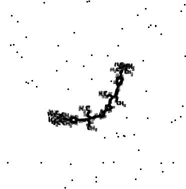 CCC/C(C#Cc1ccc(C#C[Si](C(C)C)(C(C)C)C(C)C)cc1)=C(\C#Cc1ccc(-c2ccc(C#C/C(CCC)=C(/C#Cc3ccc(C#C[Si](C(C)C)(C(C)C)C(C)C)cc3)CCC)s2)s1)CCC